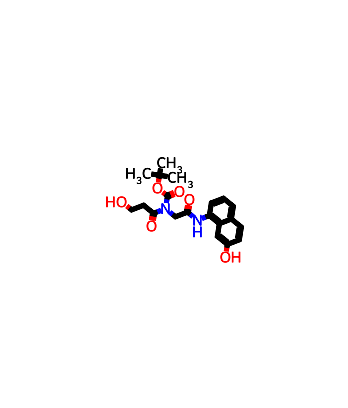 CC(C)(C)OC(=O)N(CC(=O)Nc1cccc2ccc(O)cc12)C(=O)CCO